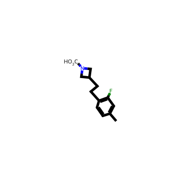 Cc1ccc(CCC2CN(C(=O)O)C2)c(F)c1